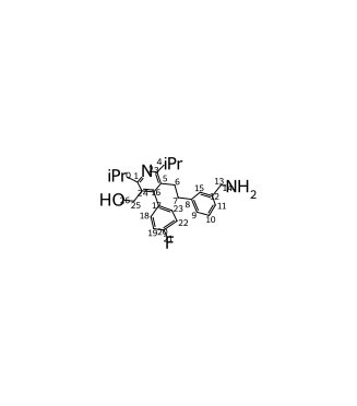 CC(C)c1nc(C(C)C)c(CCc2cccc(CN)c2)c(-c2ccc(F)cc2)c1CO